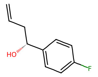 C=CC[C@@H](O)c1ccc(F)cc1